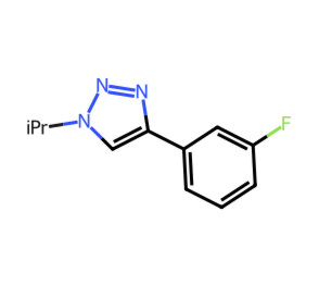 CC(C)n1cc(-c2cccc(F)c2)nn1